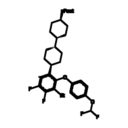 CCCCC[C@H]1CC[C@H]([C@H]2CC[C@H](c3[c]c(F)c(F)c(CC)c3Oc3ccc(OC(F)F)cc3)CC2)CC1